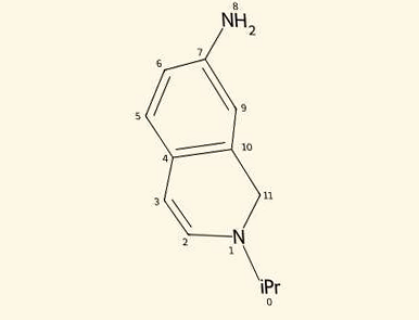 CC(C)N1C=Cc2ccc(N)cc2C1